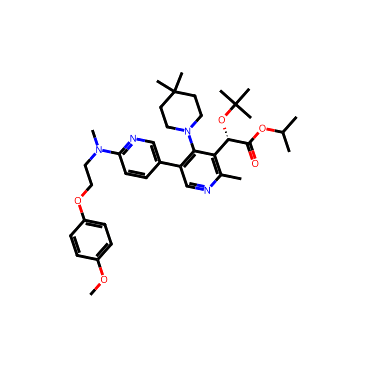 COc1ccc(OCCN(C)c2ccc(-c3cnc(C)c([C@H](OC(C)(C)C)C(=O)OC(C)C)c3N3CCC(C)(C)CC3)cn2)cc1